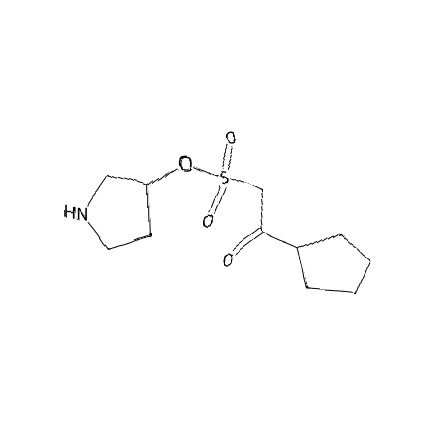 O=C(CS(=O)(=O)OC1CCNC1)C1CCCC1